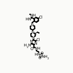 CC[C@H]1CN(c2nc(N)c(C(=O)NCCNS(N)(=O)=O)nc2Cl)CCN1C1CCN(Cc2ccc(Cl)cc2C(=N)NC)CC1